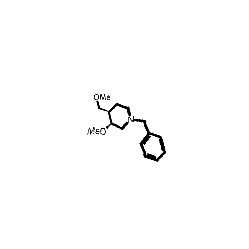 COC[C@H]1CCN(Cc2ccccc2)C[C@H]1OC